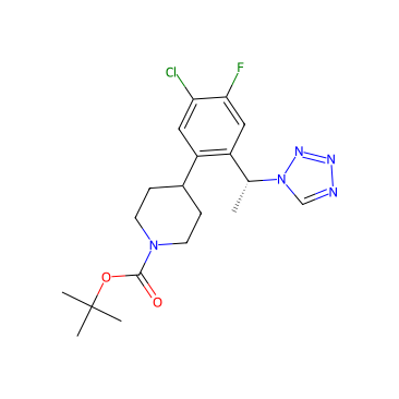 C[C@H](c1cc(F)c(Cl)cc1C1CCN(C(=O)OC(C)(C)C)CC1)n1cnnn1